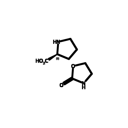 O=C(O)[C@@H]1CCCN1.O=C1NCCO1